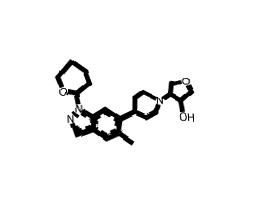 Cc1cc2cnn(C3CCCCO3)c2cc1C1CCN(C2COCC2O)CC1